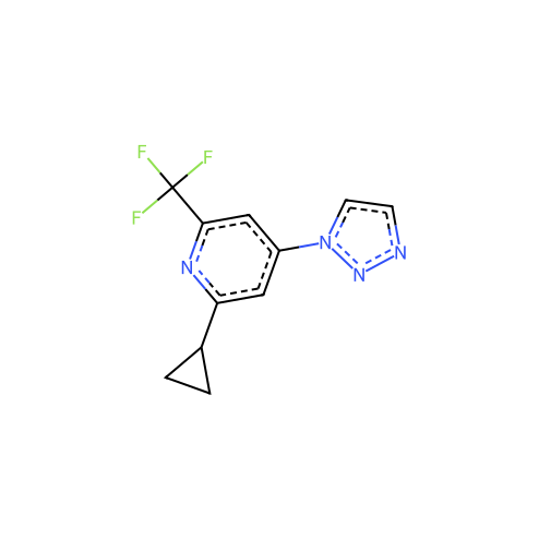 FC(F)(F)c1cc(-n2ccnn2)cc(C2CC2)n1